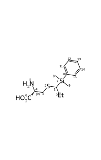 CCC(SC[C@H](N)C(=O)O)[Si](C)(C)c1ccccc1